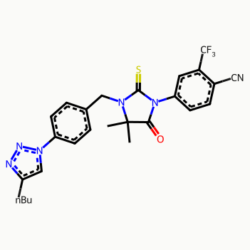 CCCCc1cn(-c2ccc(CN3C(=S)N(c4ccc(C#N)c(C(F)(F)F)c4)C(=O)C3(C)C)cc2)nn1